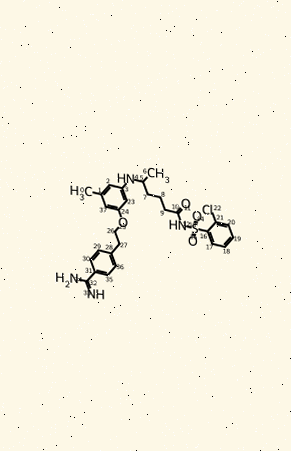 Cc1cc(NC(C)CCCC(=O)NS(=O)(=O)c2ccccc2Cl)cc(OCCc2ccc(C(=N)N)cc2)c1